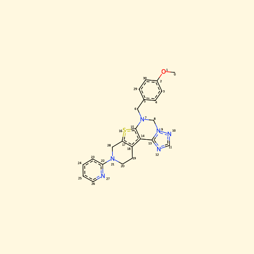 COc1ccc(CN2Cn3ncnc3-c3c2sc2c3CCN(c3ccccn3)C2)cc1